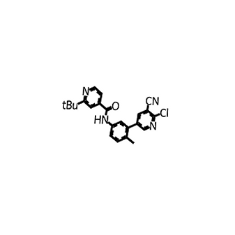 Cc1ccc(NC(=O)c2ccnc(C(C)(C)C)c2)cc1-c1cnc(Cl)c(C#N)c1